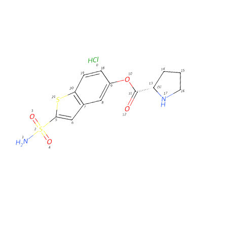 Cl.NS(=O)(=O)c1cc2cc(OC(=O)[C@@H]3CCCN3)ccc2s1